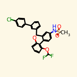 CS(=O)(=O)Nc1ccc2c(c1)C(c1cccc(-c3ccc(Cl)cc3)c1)Oc1cccc(OC(F)F)c1-2